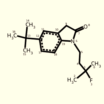 CC(C)(F)CCN1C(=O)Cc2cc(C(C)(C)C)ccc21